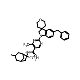 CC1CC2CC(C1)C(NC(=O)c1cnc(N3CC4(CCOCC4)c4cc(Cc5ccccc5)ccc43)nc1C(F)(F)F)(C(=O)O)C2